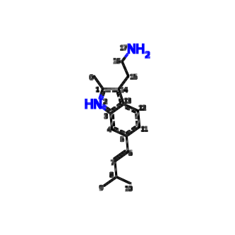 Cc1[nH]c2cc(C=CC(C)C)ccc2c1CCN